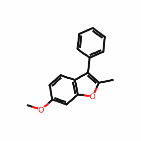 COc1ccc2c(-c3ccccc3)c(C)oc2c1